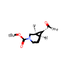 COC(=O)[C@H]1[C@@H]2CN(C(=O)OC(C)(C)C)CC[C@@H]21